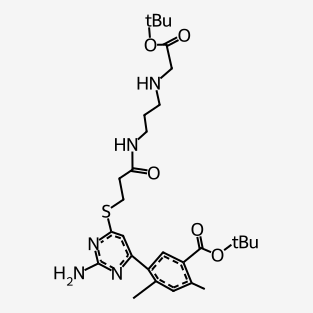 Cc1cc(C)c(-c2cc(SCCC(=O)NCCCNCC(=O)OC(C)(C)C)nc(N)n2)cc1C(=O)OC(C)(C)C